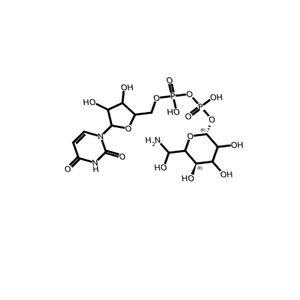 NC(O)C1O[C@H](OP(=O)(O)OP(=O)(O)OCC2OC(n3ccc(=O)[nH]c3=O)C(O)C2O)C(O)C(O)[C@H]1O